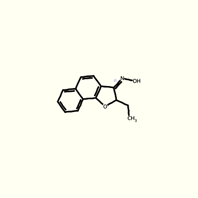 CCC1Oc2c(ccc3ccccc23)/C1=N/O